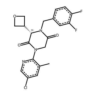 Cc1cc(Cl)cnc1N1CC(=O)N(Cc2ccc(F)c(F)c2)[C@@H](C2COC2)C1=O